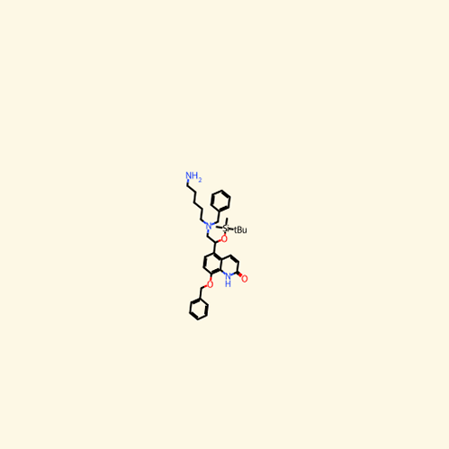 CC(C)(C)[Si](C)(C)OC(CN(CCCCCN)Cc1ccccc1)c1ccc(OCc2ccccc2)c2[nH]c(=O)ccc12